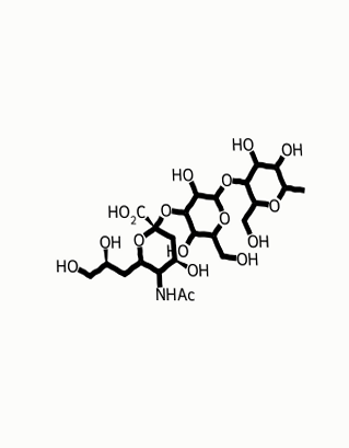 CC(=O)NC1C(C[C@H](O)CO)O[C@@](OC2C(O)C(CO)OC(OC3C(CO)OC(C)C(O)C3O)C2O)(C(=O)O)C[C@H]1O